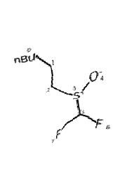 [CH2]CCCCC[S+]([O-])C(F)F